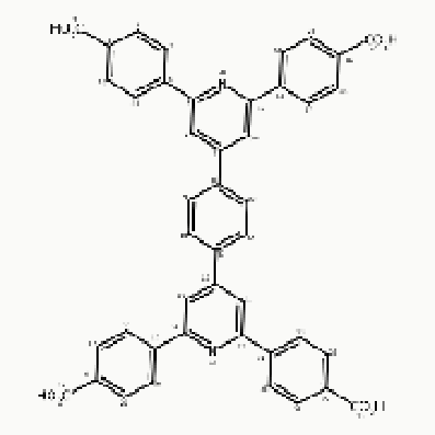 O=C(O)c1ccc(-c2cc(-c3ccc(-c4cc(-c5ccc(C(=O)O)cc5)nc(-c5ccc(C(=O)O)cc5)c4)cc3)cc(-c3ccc(C(=O)O)cc3)n2)cc1